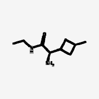 CCNC(=O)[C@H](N)C1CC(C)C1